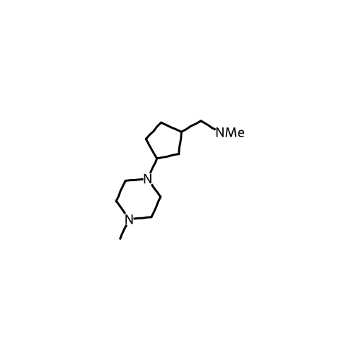 CNCC1CCC(N2CCN(C)CC2)C1